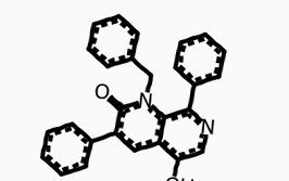 O=c1c(-c2ccccc2)cc2c(O)cnc(-c3ccccc3)c2n1Cc1ccccc1